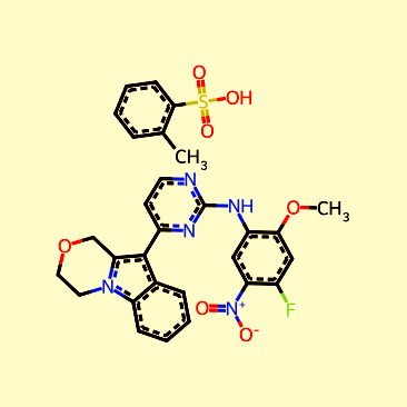 COc1cc(F)c([N+](=O)[O-])cc1Nc1nccc(-c2c3n(c4ccccc24)CCOC3)n1.Cc1ccccc1S(=O)(=O)O